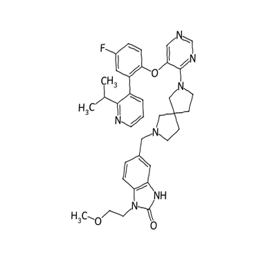 COCCn1c(=O)[nH]c2cc(CN3CCC4(CCN(c5ncncc5Oc5ccc(F)cc5-c5cccnc5C(C)C)C4)C3)ccc21